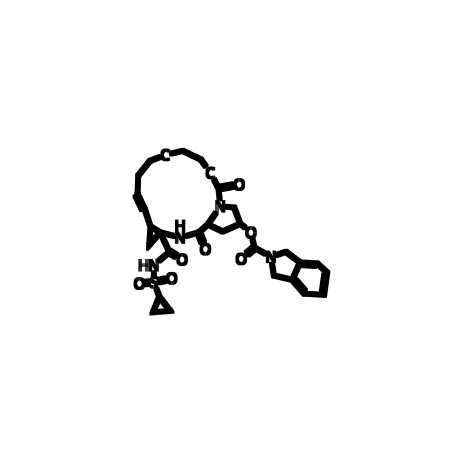 O=C1NC2(C(=O)NS(=O)(=O)C3CC3)CC2/C=C/CCCCCCC(=O)N2CC(OC(=O)N3Cc4ccccc4C3)CC12